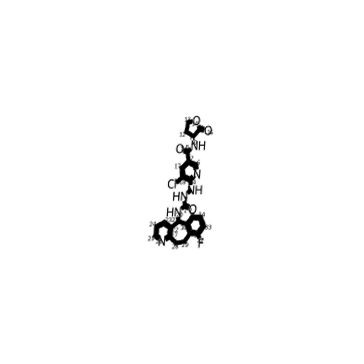 O=C(NNc1ncc(C(=O)N[C@@H]2CCOC2=O)cc1Cl)NC1c2cccnc2CCc2c(F)cccc21